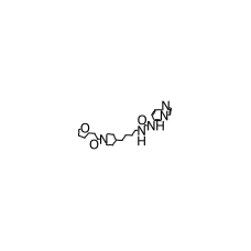 O=C(NCCCCC1CCN(C(=O)CC2CCCO2)CC1)Nc1ccc2nccn2c1